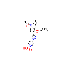 CCCOc1c(-c2cnn(C3CCN(C(=O)O)CC3)c2)ccc2c1CCC(C)N2C(C)=O